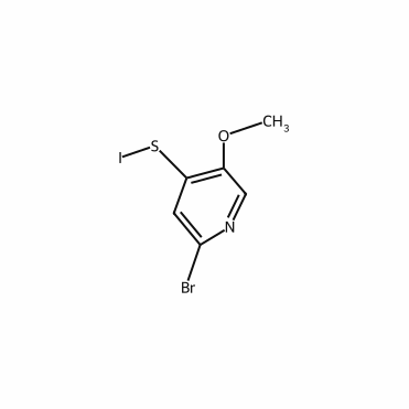 COc1cnc(Br)cc1SI